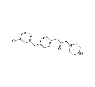 O=C(Cc1ccc(Cc2cccc(Cl)c2)cc1)CN1CCNCC1